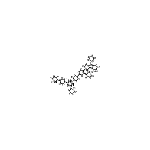 c1ccc(-c2nc(-c3ccc(-c4ccc5c(c4)c4ccccc4c4c5ccc5c4c4ccccc4n5-c4ccccc4)cc3)nc(-c3ccc(-c4ccccn4)cc3)n2)cc1